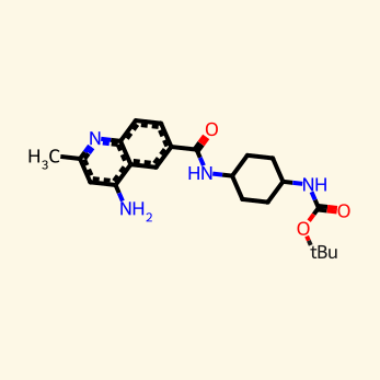 Cc1cc(N)c2cc(C(=O)NC3CCC(NC(=O)OC(C)(C)C)CC3)ccc2n1